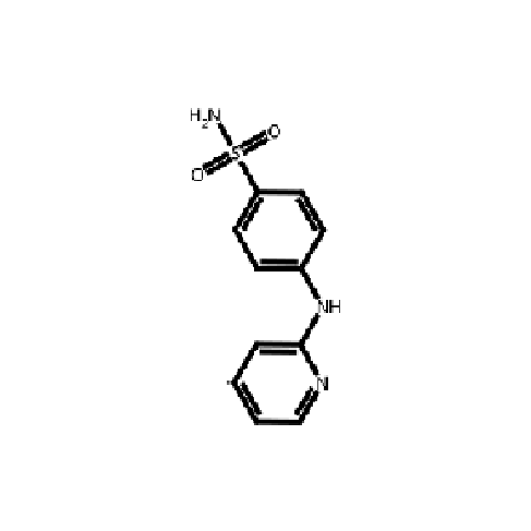 NS(=O)(=O)c1ccc(Nc2c[c]ccn2)cc1